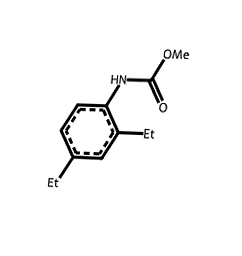 CCc1ccc(NC(=O)OC)c(CC)c1